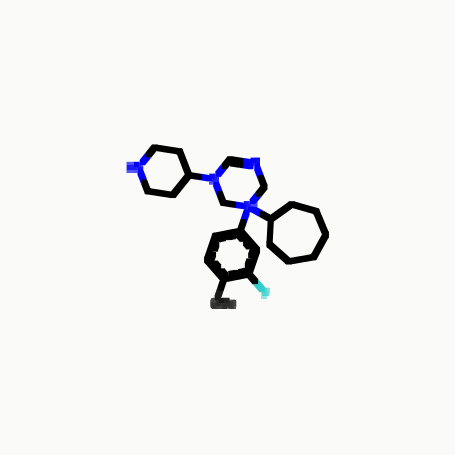 COc1ccc([N+]2(C3CCCCCC3)CN=CN(C3CCNCC3)C2)cc1F